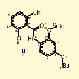 CCC(C)Oc1ccc(PC(=O)c2c(Cl)cccc2Cl)c(OC(C)CC)c1.[Li]